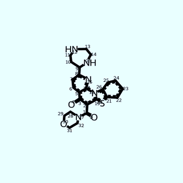 O=C(c1c(=O)c2ccc(C3CCNCCN3)nc2n2c1sc1ccccc12)N1CCOCC1